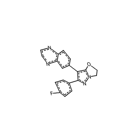 Fc1ccc(-c2nn3c(c2-c2ccc4nccnc4c2)OCC3)cc1